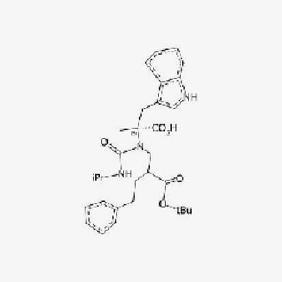 CC(C)NC(=O)N(CC(CCc1ccccc1)C(=O)OC(C)(C)C)[C@@](C)(Cc1c[nH]c2ccccc12)C(=O)O